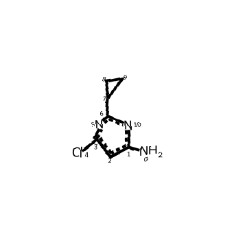 Nc1cc(Cl)nc(C2CC2)n1